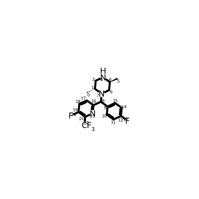 C[C@@H]1CN[C@@H](C)CN1C(c1ccc(F)cc1)c1ccc(F)c(C(F)(F)F)n1